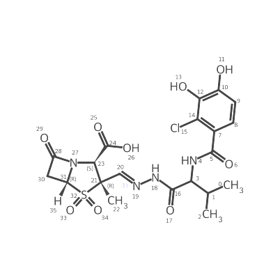 CC(C)C(NC(=O)c1ccc(O)c(O)c1Cl)C(=O)N/N=C/[C@@]1(C)[C@H](C(=O)O)N2C(=O)C[C@H]2S1(=O)=O